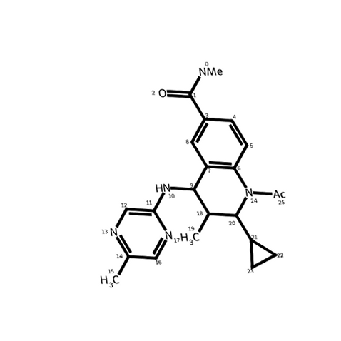 CNC(=O)c1ccc2c(c1)C(Nc1cnc(C)cn1)C(C)C(C1CC1)N2C(C)=O